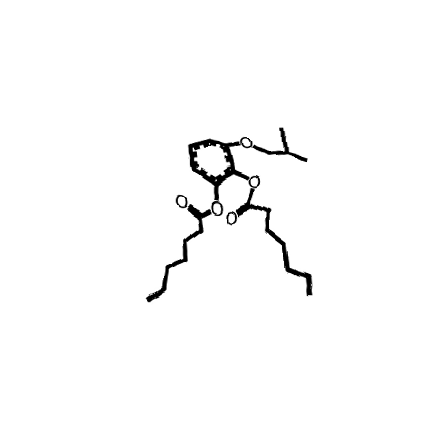 CCCCCCC(=O)Oc1cccc(OCC(C)C)c1OC(=O)CCCCCC